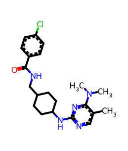 Cc1cnc(NC2CCC(CNC(=O)c3ccc(Cl)cc3)CC2)nc1N(C)C